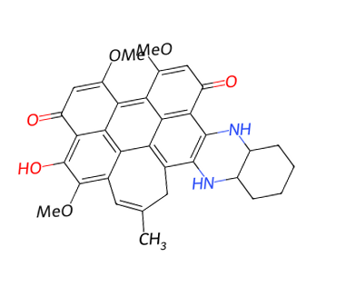 COc1c(O)c2c(=O)cc(OC)c3c4c(OC)cc(=O)c5c6c(c7c(c(c1C=C(C)C7)c23)c54)NC1CCCCC1N6